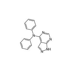 c1ccc(N(c2ccccc2)c2ncnc3[nH]ncc23)cc1